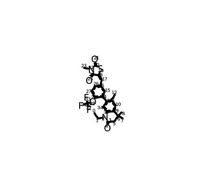 CCN1C(=O)CC(C)(C)c2cc(C)c(-c3cc(/C=C4/SC(=O)N(C)C4=O)ccc3OC(F)(F)F)cc21